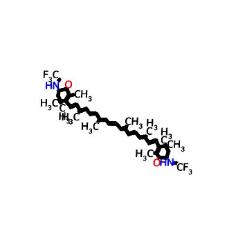 CC1=C(/C=C/C(C)=C/C=C/C(C)=C/C=C/C=C(C)/C=C/C=C(C)/C=C/C2=C(C)C(=O)C(NCC(F)(F)F)CC2(C)C)C(C)(C)CC(NCC(F)(F)F)C1=O